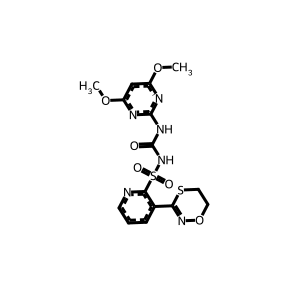 COc1cc(OC)nc(NC(=O)NS(=O)(=O)c2ncccc2C2=NOCCS2)n1